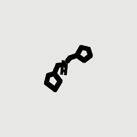 C1CCC(CNCC2CCCC2)C1